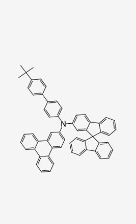 CC(C)(C)c1ccc(-c2ccc(N(c3ccc4c(c3)C3(c5ccccc5-c5ccccc53)c3ccccc3-4)c3ccc4c5ccccc5c5ccccc5c4c3)cc2)cc1